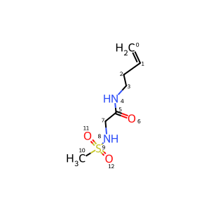 C=CCCNC(=O)CNS(C)(=O)=O